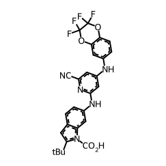 CC(C)(C)c1cc2ccc(Nc3cc(Nc4ccc5c(c4)OC(F)(F)C(F)(F)O5)cc(C#N)n3)cc2n1C(=O)O